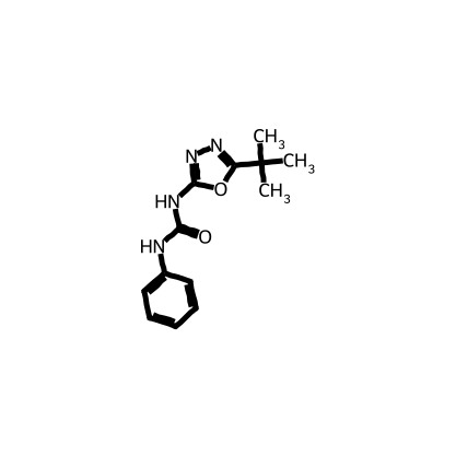 CC(C)(C)c1nnc(NC(=O)Nc2ccccc2)o1